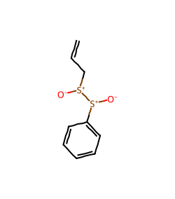 C=CC[S+]([O-])[S+]([O-])c1ccccc1